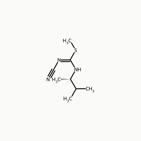 CSC(=NC#N)N[C@@H](C)C(C)C